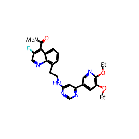 CCOc1cc(-c2cc(NCCc3cccc4c(C(=O)NC)c(F)cnc34)ncn2)cnc1OCC